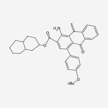 CCCCOc1ccc(-c2cc(C(=O)OC3CCC4CCCCC4C3)c(N)c3c2C(=O)c2ccccc2C3=S)cc1